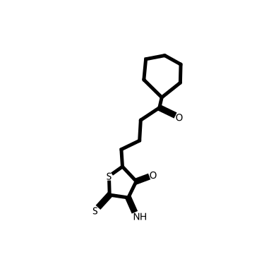 N=C1C(=O)C(CCCC(=O)C2CCCCC2)SC1=S